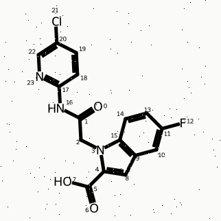 O=C(Cn1c(C(=O)O)cc2cc(F)ccc21)Nc1ccc(Cl)cn1